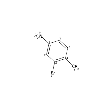 Nc1ccc(C(F)(F)F)c(Br)c1